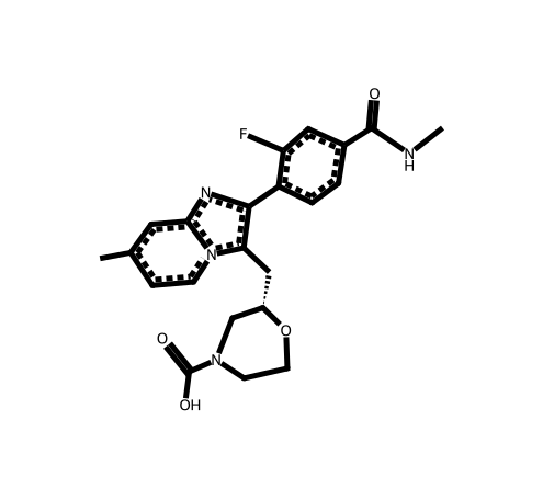 CNC(=O)c1ccc(-c2nc3cc(C)ccn3c2C[C@H]2CN(C(=O)O)CCO2)c(F)c1